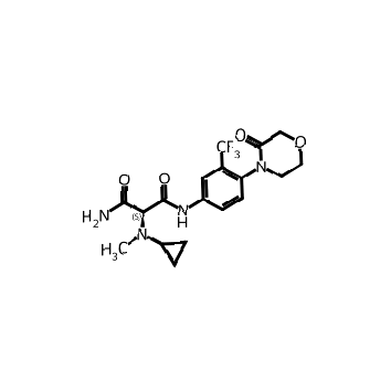 CN(C1CC1)[C@@H](C(N)=O)C(=O)Nc1ccc(N2CCOCC2=O)c(C(F)(F)F)c1